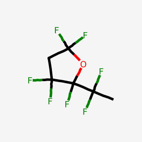 CC(F)(F)C1(F)OC(F)(F)CC1(F)F